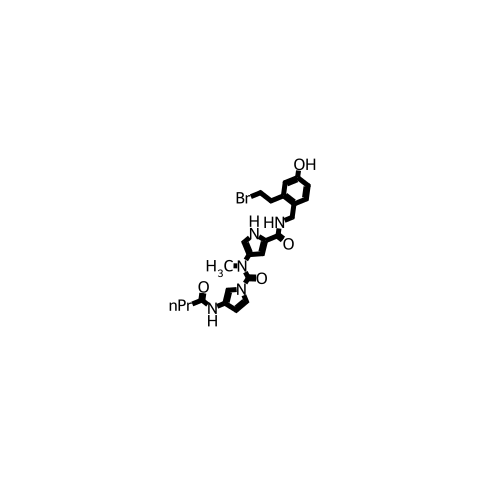 CCCC(=O)Nc1ccn(C(=O)N(C)c2c[nH]c(C(=O)NCc3ccc(O)cc3CCBr)c2)c1